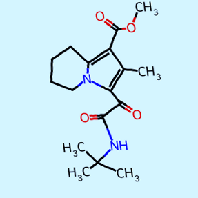 COC(=O)c1c(C)c(C(=O)C(=O)NC(C)(C)C)n2c1CCCC2